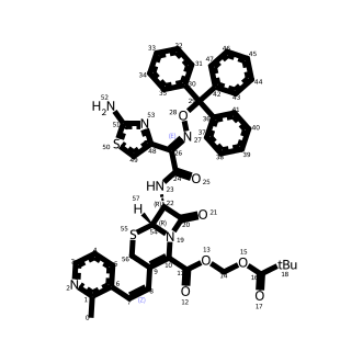 Cc1ncccc1/C=C\C1=C(C(=O)OCOC(=O)C(C)(C)C)N2C(=O)[C@@H](NC(=O)/C(=N/OC(c3ccccc3)(c3ccccc3)c3ccccc3)c3csc(N)n3)[C@H]2SC1